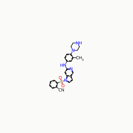 Cc1cc(Nc2cc3c(ccn3S(=O)(=O)c3ccccc3C#N)cn2)ccc1N1CCNCC1